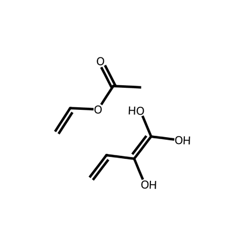 C=CC(O)=C(O)O.C=COC(C)=O